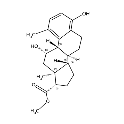 COC(=O)[C@H]1CC[C@H]2[C@@H]3CCc4c(O)ccc(C)c4[C@H]3[C@@H](O)C[C@]12C